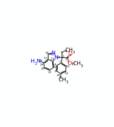 CCC(C(=O)OC)(c1ccc(C)cc1)n1ncc2c(N)cccc21